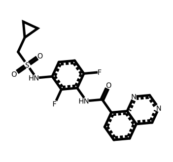 O=C(Nc1c(F)ccc(NS(=O)(=O)CC2CC2)c1F)c1cccc2cncnc12